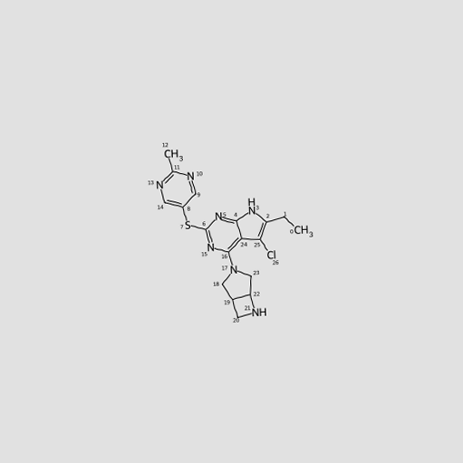 CCc1[nH]c2nc(Sc3cnc(C)nc3)nc(N3CC4CNC4C3)c2c1Cl